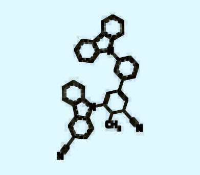 CC1C(n2c3ccccc3c3cc(C#N)ccc32)=CC(c2cccc(-n3c4ccccc4c4ccccc43)c2)=CC1C#N